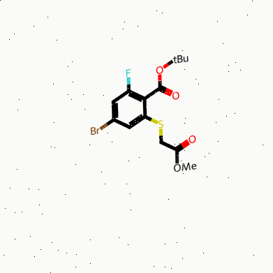 COC(=O)CSc1cc(Br)cc(F)c1C(=O)OC(C)(C)C